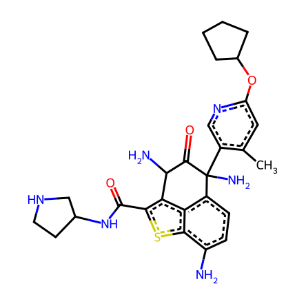 Cc1cc(OC2CCCC2)ncc1C1(N)C(=O)C(N)c2c(C(=O)NC3CCNC3)sc3c(N)ccc1c23